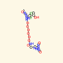 C=CC(=O)N1CCN(c2nc(N(C)CCOCCOCCOCCOCCOCCOCCNC(=O)c3cccc(-c4ccc5c(N6CCOC[C@H]6C)nc(N6CCOC[C@H]6C)nc5n4)c3)nc3c(F)c(-c4cc(O)cc5ccccc45)c(Cl)cc23)CC1